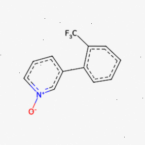 [O-][n+]1cccc(-c2ccccc2C(F)(F)F)c1